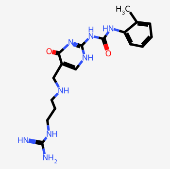 Cc1ccccc1NC(=O)Nc1nc(=O)c(CNCCCNC(=N)N)c[nH]1